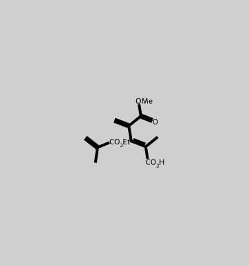 C=C(C)C(=O)OCC.C=C(C=C(C)C(=O)O)C(=O)OC